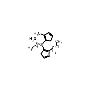 CC1=[C]([Zr]([C]2=C(C)C=CC2)[SiH](C)C)CC=C1.CCl